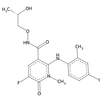 Cc1cc(I)ccc1Nc1c(C(=O)NOC[C@H](C)O)cc(F)c(=O)n1C